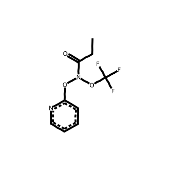 CCC(=O)N(Oc1ccccn1)OC(F)(F)F